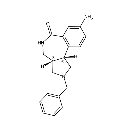 Nc1ccc2c(c1)C(=O)NC[C@H]1CN(Cc3ccccc3)C[C@@H]21